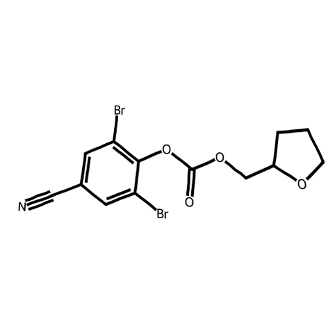 N#Cc1cc(Br)c(OC(=O)OCC2CCCO2)c(Br)c1